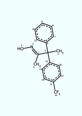 CC(=NO)C(C)(c1ccccc1)c1ccc(C(F)(F)F)cc1